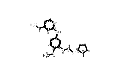 CNc1ccnc(Nc2ccc(OC)c(ONC[C@@H]3CCCN3)c2)n1